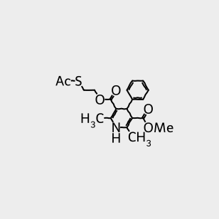 COC(=O)C1=C(C)NC(C)=C(C(=O)OCCSC(C)=O)C1c1ccccc1